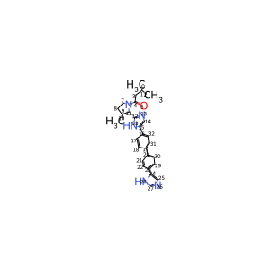 CC(C)CC(=O)N1CC[C@H](C)[C@H]1c1ncc(-c2ccc(-c3ccc(-c4cnc[nH]4)cc3)cc2)[nH]1